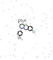 O=C(O)C[C@@H]1CCN(Cc2cc(Cl)ccc2Cl)[C@H](c2ccc(C(F)(F)F)cc2)C1